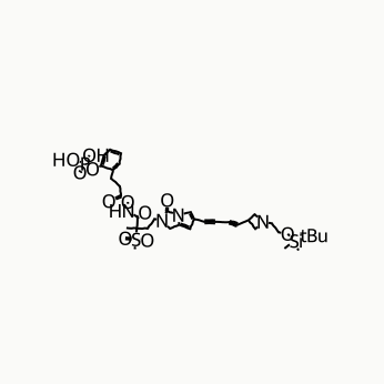 CC(C)(C)[Si](C)(C)OCCN1CC(C#CC#Cc2cc3n(c2)C(=O)N(CCC(C)(C(=O)NOC(=O)CCc2ccccc2OP(=O)(O)O)S(C)(=O)=O)C3)C1